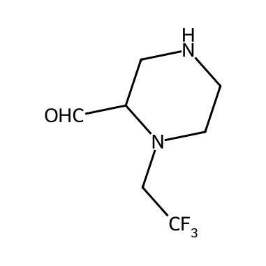 O=CC1CNCCN1CC(F)(F)F